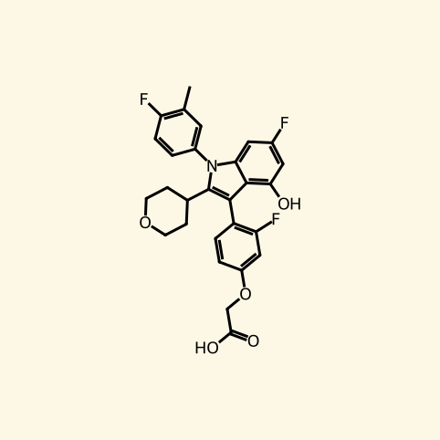 Cc1cc(-n2c(C3CCOCC3)c(-c3ccc(OCC(=O)O)cc3F)c3c(O)cc(F)cc32)ccc1F